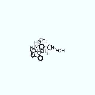 COc1cc(C2CCN(CCO)CC2)ccc1Nc1ncc2ccc(-c3ccccc3OC)n2n1